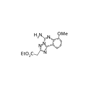 CCOC(=O)Cc1nc2c3cccc(OC)c3nc(N)n2n1